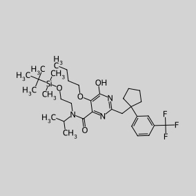 CCCCOc1c(O)nc(CC2(c3cccc(C(F)(F)F)c3)CCCC2)nc1C(=O)N(CCO[Si](C)(C)C(C)(C)C)C(C)C